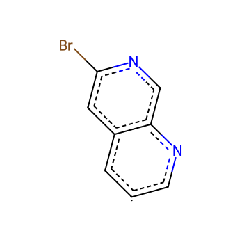 Brc1cc2c[c]cnc2cn1